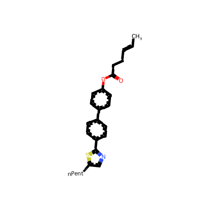 CC=CCCC(=O)Oc1ccc(-c2ccc(-c3ncc(CCCCC)s3)cc2)cc1